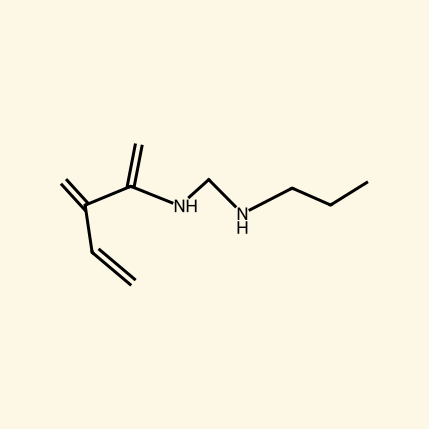 C=CC(=C)C(=C)NCNCCC